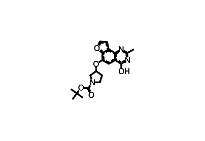 Cc1nc(O)c2cc(OC3CCN(C(=O)OC(C)(C)C)C3)c3occc3c2n1